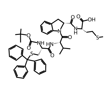 CSCC[C@H](NC(=O)[C@H]1Cc2ccccc2N1C(=O)[C@@H](NC(=O)[C@H](CSC(c1ccccc1)(c1ccccc1)c1ccccc1)NC(=O)OC(C)(C)C)C(C)C)C(=O)O